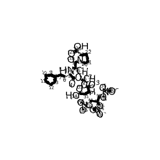 CCOC(=O)[C@H](CCc1ccccc1)N[C@@H](C)C(=O)N1CCC[C@H]1C(=O)O.O=C(O)/C=C\C(=O)O.O=[N+]([O-])OCC(CO[N+](=O)[O-])O[N+](=O)[O-]